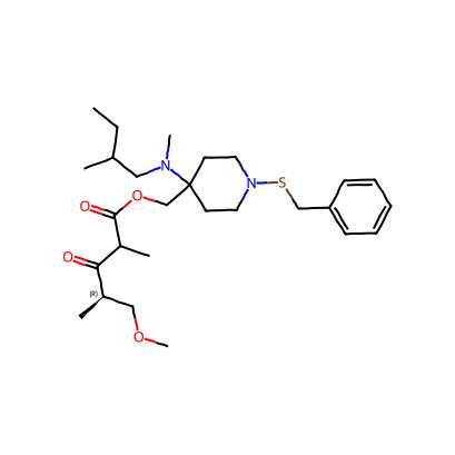 CCC(C)CN(C)C1(COC(=O)C(C)C(=O)[C@H](C)COC)CCN(SCc2ccccc2)CC1